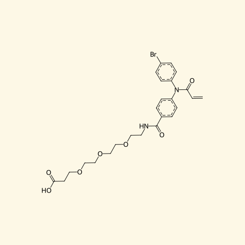 C=CC(=O)N(c1ccc(Br)cc1)c1ccc(C(=O)NCCOCCOCCOCCC(=O)O)cc1